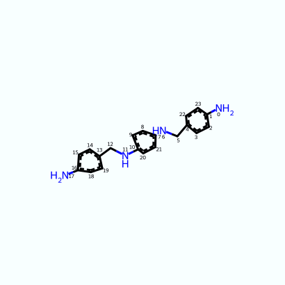 Nc1ccc(CNc2ccc(NCc3ccc(N)cc3)cc2)cc1